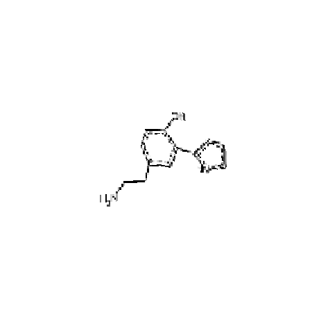 NCCc1ccc(O)c(-c2ccc[nH]2)c1